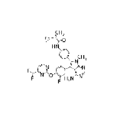 C=C(C(=O)Nc1ccc(-c2c(-c3ccc(Oc4nccc(C(F)F)n4)c(F)c3)c3c(N)ncnc3n2C)cc1)C1CC1